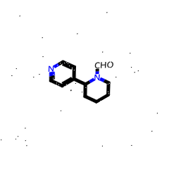 O=CN1CCCCC1c1ccncc1